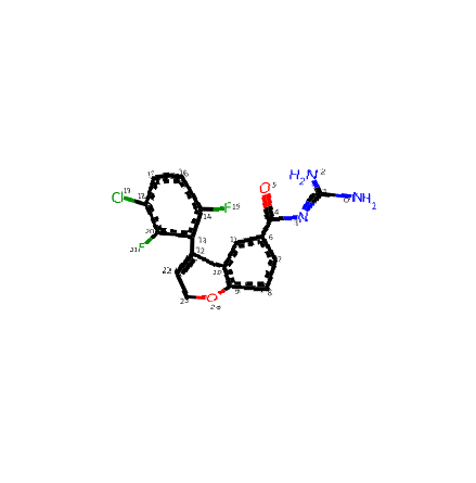 NC(N)=NC(=O)c1ccc2c(c1)C(c1c(F)ccc(Cl)c1F)=CCO2